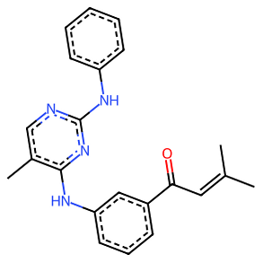 CC(C)=CC(=O)c1cccc(Nc2nc(Nc3ccccc3)ncc2C)c1